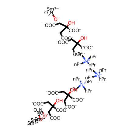 CCC[N+](CCC)(CCC)CCC.CCC[N+](CCC)(CCC)CCC.CCC[N+](CCC)(CCC)CCC.O=C([O-])CC(O)(CC(=O)[O-])C(=O)[O-].O=C([O-])CC(O)(CC(=O)[O-])C(=O)[O-].O=C([O-])CC(O)(CC(=O)[O-])C(=O)[O-].O=C([O-])CC(O)(CC(=O)[O-])C(=O)[O-].O=[N+]([O-])[O-].O=[N+]([O-])[O-].O=[N+]([O-])[O-].[Sm+3].[Sm+3].[Sm+3].[Sm+3]